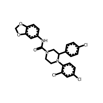 O=C(Nc1ccc2c(c1)OCO2)N1CCN(c2ccc(Cl)cc2Cl)C(c2ccc(Cl)cc2)C1